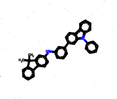 CC1(C)c2ccccc2-c2ccc(Nc3cccc(-c4ccc5c6ccccc6n(-c6ccccc6)c5c4)c3)cc21